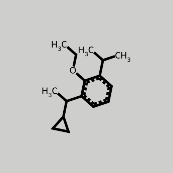 CCOc1c(C(C)C)cccc1C(C)C1CC1